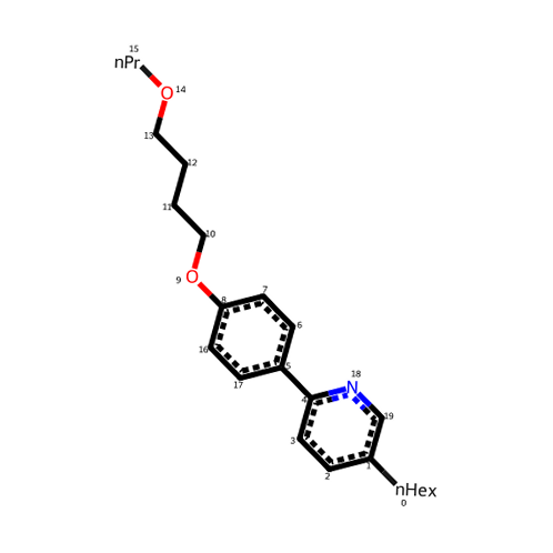 CCCCCCc1ccc(-c2ccc(OCCCCOCCC)cc2)nc1